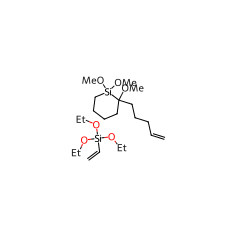 C=CCCCC1(OC)CCCC[Si]1(OC)OC.C=C[Si](OCC)(OCC)OCC